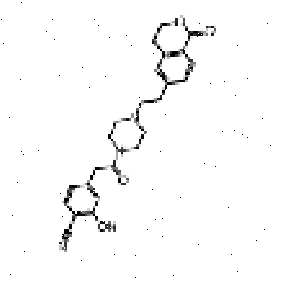 N#Cc1ccc(CC(=O)N2CCN(CCc3ccc4c(c3)CCOC4=O)CC2)cc1O